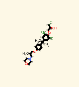 CC(COc1ccc(C(C)(C)c2cc(Cl)c(OCC(O)CCl)c(Cl)c2)cc1)CN1CCOCC1